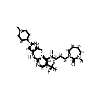 Cc1nn(C2CCN(C)CC2)cc1Nc1ncc(C(F)(F)F)c(NCCCN2CCCCN(C)C2=O)n1